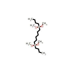 CCCC[Si](CCCCCC[Si](CCCC)(OC)OC)(OC)OC